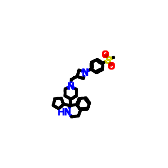 CS(=O)(=O)c1ccc(N2CC(CN3CCC(C4(C5CCCC5)NCCc5ccccc54)CC3)C2)cc1